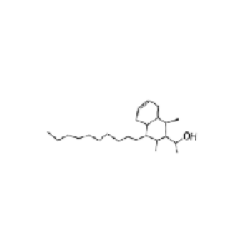 CCCCCCCCCCC1C(C)C(C(C)O)[C@H](C)C2CC=CCC12